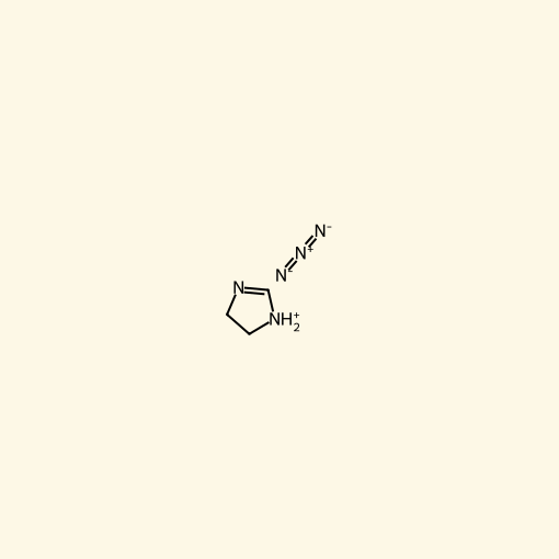 C1=NCC[NH2+]1.[N-]=[N+]=[N-]